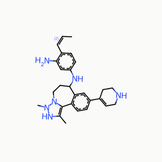 C/C=C\c1ccc(NC2CCN3C(=C(C)NN3C)c3ccc(C4=CCNCC4)cc32)cc1N